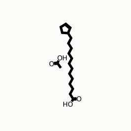 CC(=O)O.O=C(O)CCCCCCCCCCCCC1C=CCC1